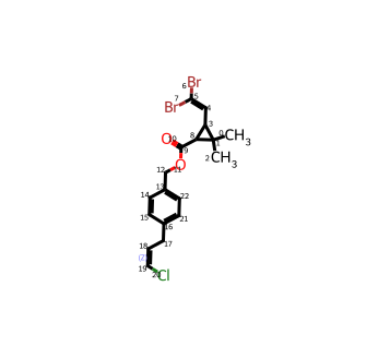 CC1(C)C(C=C(Br)Br)C1C(=O)OCc1ccc(C/C=C\Cl)cc1